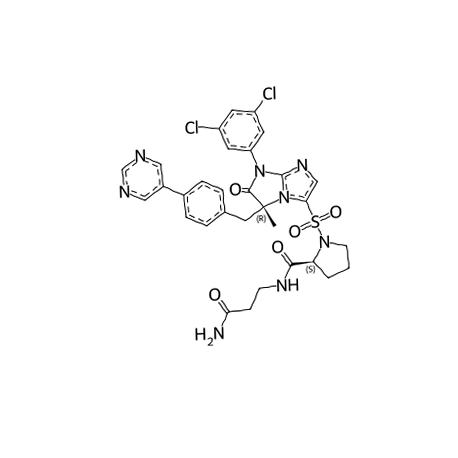 C[C@@]1(Cc2ccc(-c3cncnc3)cc2)C(=O)N(c2cc(Cl)cc(Cl)c2)c2ncc(S(=O)(=O)N3CCC[C@H]3C(=O)NCCC(N)=O)n21